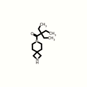 CCC(CC)(CC)C(=O)N1CCC2(CC1)CNC2